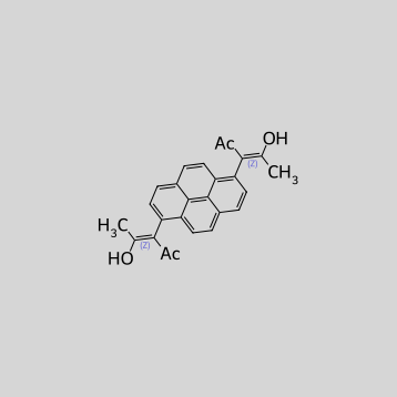 CC(=O)/C(=C(/C)O)c1ccc2ccc3c(/C(C(C)=O)=C(\C)O)ccc4ccc1c2c43